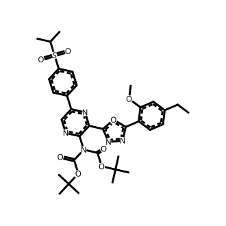 CCc1ccc(-c2nnc(-c3nc(-c4ccc(S(=O)(=O)C(C)C)cc4)cnc3N(C(=O)OC(C)(C)C)C(=O)OC(C)(C)C)o2)c(OC)c1